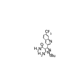 CC(C)(C)n1nc(-c2cnc3cc(C(F)(F)F)ccc3c2)c(C(N)=O)c1N